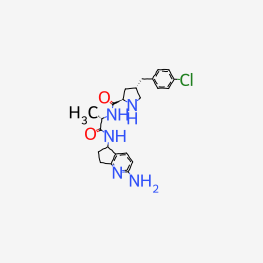 C[C@H](NC(=O)[C@H]1C[C@H](Cc2ccc(Cl)cc2)CN1)C(=O)NC1CCc2nc(N)ccc21